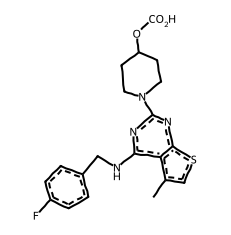 Cc1csc2nc(N3CCC(OC(=O)O)CC3)nc(NCc3ccc(F)cc3)c12